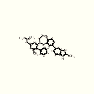 Cc1nc2cc(-c3ccc4c(c3)CN(c3nc(CN(C)C)nc(C)c3-c3ccccc3)CCO4)ccc2[nH]1